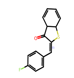 O=C1/C(=C\c2ccc(F)cc2)SC2C=CC=CC12